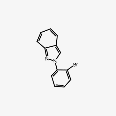 Brc1ccccc1-n1cc2ccccc2n1